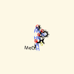 COCCNC(=O)c1scc(C)c1NC(=O)C[N+]1(CC(=O)Nc2ccon2)CCCCCC1